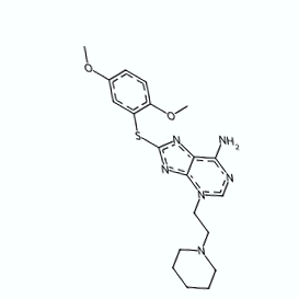 COc1ccc(OC)c(Sc2nc3c(N)ncn(CCN4CCCCC4)c-3n2)c1